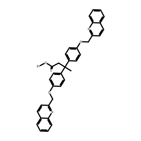 CCOC(=S)CC(C)(c1ccc(OCc2ccc3ccccc3n2)cc1)c1ccc(OCc2ccc3ccccc3n2)cc1